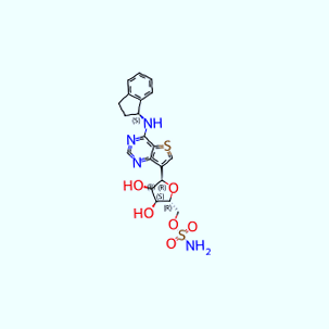 NS(=O)(=O)OC[C@H]1O[C@H](c2csc3c(N[C@H]4CCc5ccccc54)ncnc23)[C@H](O)[C@@H]1O